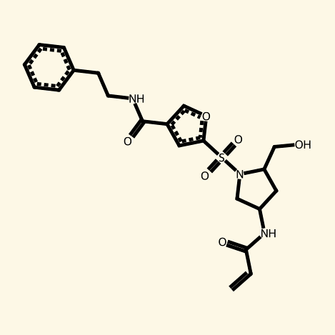 C=CC(=O)NC1CC(CO)N(S(=O)(=O)c2cc(C(=O)NCCc3ccccc3)co2)C1